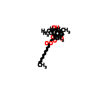 C=C[C@]1(C)C[C@@H](OC(=O)COC(=O)CCCCCCCCCCC)[C@]2(C)CC[C@@H](C[C@@H]1O)[C@]1(CC)CCC(=O)[C@@H]21